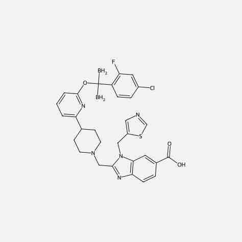 BC(B)(Oc1cccc(C2CCN(Cc3nc4ccc(C(=O)O)cc4n3Cc3cncs3)CC2)n1)c1ccc(Cl)cc1F